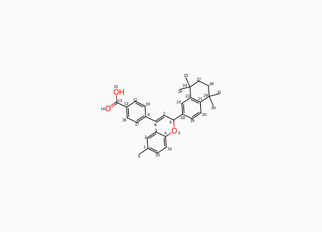 Cc1ccc(OC(C=Cc2ccc(C(=O)O)cc2)c2ccc3c(c2)C(C)(C)CCC3(C)C)cc1